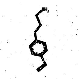 BCCCc1ccc(C=C)cc1